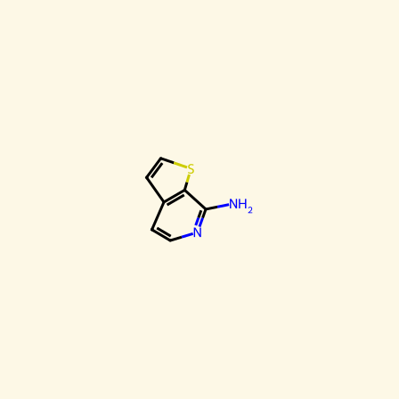 Nc1nccc2ccsc12